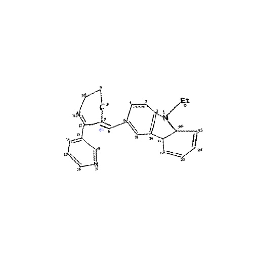 CCN1c2ccc(/C=C3\CCCN=C3c3cccnc3)cc2C2C=CC=CC21